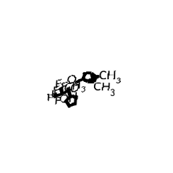 CC1C2CC(C(=O)OC(C)(C3CCCC3)C(O)(C(F)(F)F)C(F)(F)F)C(C2)C1C